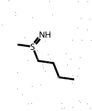 CCCCS(C)=N